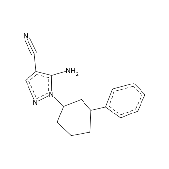 N#Cc1cnn(C2CCCC(c3ccccc3)C2)c1N